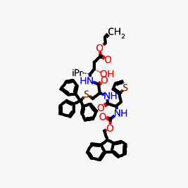 C=CCOC(=O)C[C@H](O)[C@H](NC(=O)C(CSC(c1ccccc1)(c1ccccc1)c1ccccc1)NC(=O)C(Cc1cccs1)NC(=O)OCC1c2ccccc2-c2ccccc21)C(C)C